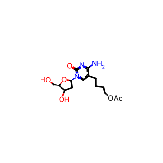 CC(=O)OCCCCc1cn([C@H]2CC(O)[C@@H](CO)O2)c(=O)nc1N